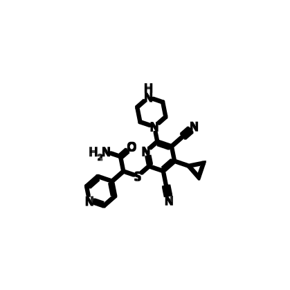 N#Cc1c(SC(C(N)=O)c2ccncc2)nc(N2CCNCC2)c(C#N)c1C1CC1